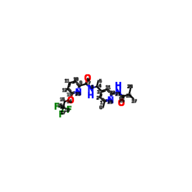 Cc1cc(C(C)NC(=O)c2cccc(OCC(F)(F)F)n2)cc(NC(=O)C(C)C)n1